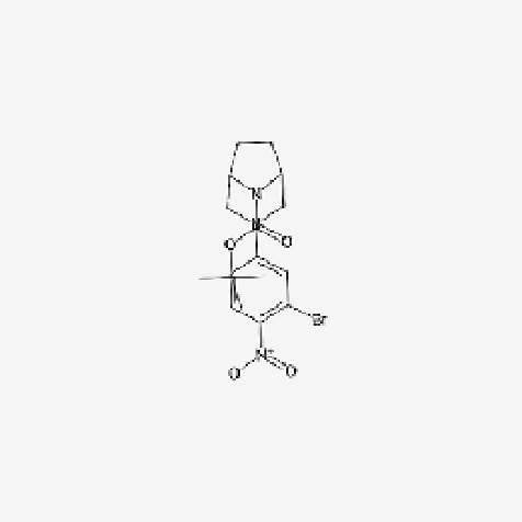 CC(C)(C)OC(=O)N1C2CCC1CN(c1ccc([N+](=O)[O-])c(Br)c1)C2